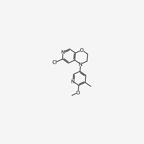 COc1ncc(N2CCOc3cnc(Cl)cc32)cc1C